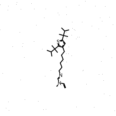 C=CN(C)/C=N/CCCCCCc1cc(C(C)(C)C(C)C)sc1C(C)(C)C(C)C